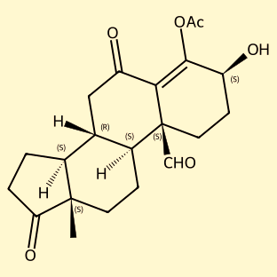 CC(=O)OC1=C2C(=O)C[C@@H]3[C@H](CC[C@]4(C)C(=O)CC[C@@H]34)[C@@]2(C=O)CC[C@@H]1O